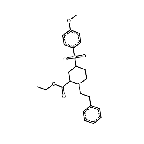 CCOC(=O)C1CC(S(=O)(=O)c2ccc(OC)cc2)CCN1CCc1ccccc1